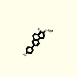 CCCCCCCc1ccc2c(c1F)CCc1cc(-c3ccc(C#N)cc3)ccc1-2